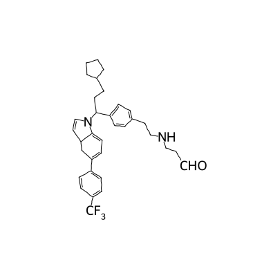 O=CCCNCCc1ccc(C(CCC2CCCC2)N2C=CC3CC(c4ccc(C(F)(F)F)cc4)=CC=C32)cc1